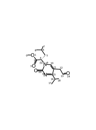 COC(=O)[C@H](CC(C)C)n1cc(CC=O)c(C(C)C)nc1=O